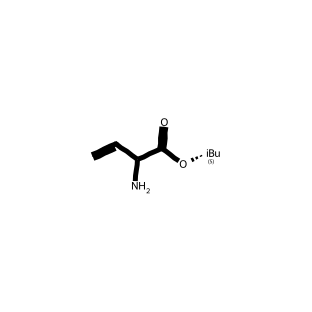 C=CC(N)C(=O)O[C@@H](C)CC